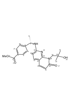 COC(=O)c1ccc([C@H](C)Nc2ncc3ccc(=O)n(CC(C)(C)O)c3n2)cc1